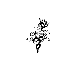 Cc1cc2[nH]ncc2cc1C(=O)NCC(O)(c1cc2c(c(-c3ccc(F)cc3)n1)OC(C)[C@@H]2C(N)=O)C(F)(F)F